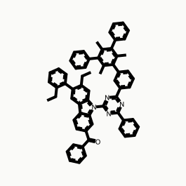 CCc1ccccc1-c1cc2c3ccc(C(=O)c4ccccc4)cc3n(-c3nc(-c4ccccc4)nc(-c4cccc(-c5c(C)c(-c6ccccc6)c(C)c(-c6ccccc6)c5C)c4)n3)c2cc1CC